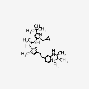 C=C(Nc1cc(C(C)(C)C)nn1CC1CC1)NC1SC(CCc2ccnc(NC(=C)C(C)C)c2)=CN1C